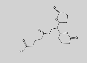 CCCC(=O)CCCC(=O)CCC(C1CCCC(=O)O1)C1CCCC(=O)O1